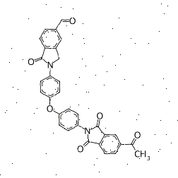 CC(=O)c1ccc2c(c1)C(=O)N(c1ccc(Oc3ccc(N4Cc5cc(C=O)ccc5C4=O)cc3)cc1)C2=O